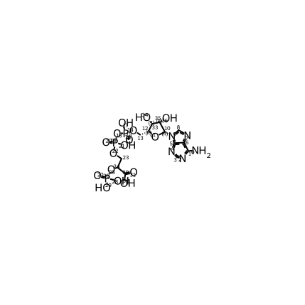 Nc1ncnc2c1ncn2[C@@H]1O[C@H](COP(=O)(O)OP(=O)(O)OCC(OP(=O)(O)O)C(=O)O)[C@@H](O)[C@H]1O